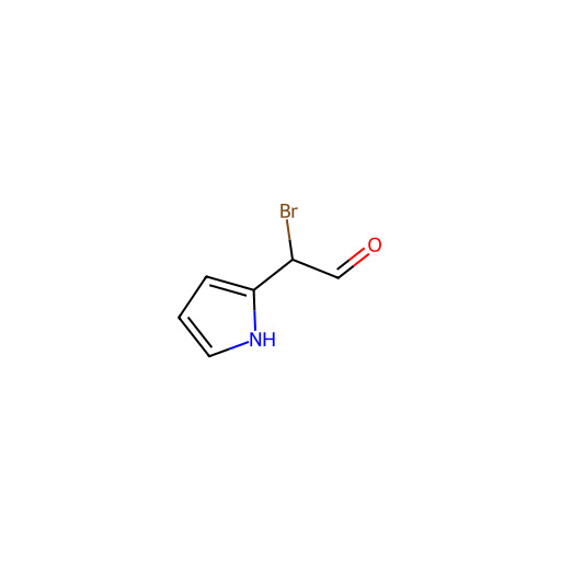 O=CC(Br)c1ccc[nH]1